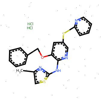 Cc1csc(Nc2ncc(Sc3ccccn3)cc2OCc2ccccc2)n1.Cl.Cl